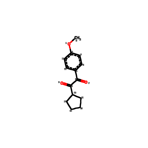 COc1ccc(C(=O)C(=O)C2CCCC2)cc1